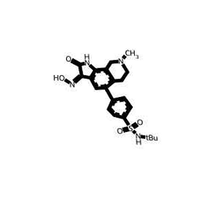 CN1CCc2c(-c3ccc(S(=O)(=O)NC(C)(C)C)cc3)cc3c(c2C1)NC(=O)/C3=N\O